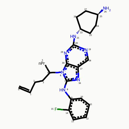 C=CCCC(CCC)n1c(Nc2ccccc2F)nc2cnc(N[C@H]3CC[C@H](N)CC3)nc21